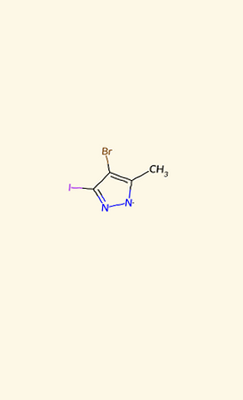 CC1=C(Br)C(I)=N[N]1